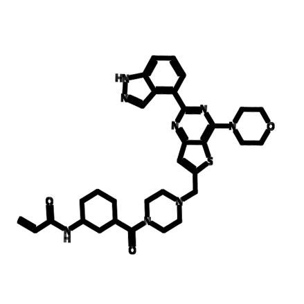 C=CC(=O)NC1CCCC(C(=O)N2CCN(Cc3cc4nc(-c5cccc6[nH]ncc56)nc(N5CCOCC5)c4s3)CC2)C1